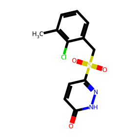 Cc1cccc(CS(=O)(=O)c2ccc(=O)[nH]n2)c1Cl